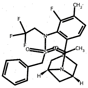 [CH2]c1ccc(N2C[C@H]3C[C@@H](C2)N3C(C)=O)c(N(CC(F)(F)F)S(=O)(=O)Cc2ccccc2)c1F